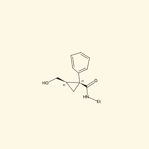 CCNC(=O)[C@@]1(c2ccccc2)C[C@H]1CO